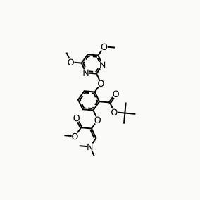 COC(=O)C(=CN(C)C)Oc1cccc(Oc2nc(OC)cc(OC)n2)c1C(=O)OC(C)(C)C